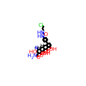 CN(C)C1C(O)=C(C(N)=O)C(=O)[C@@]2(O)C(O)=C3C(=O)c4c(O)ccc(-c5ccc(NC(=O)NCCCCl)cc5)c4C[C@@H]3C[C@H]12